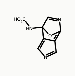 O=C(O)NC12C=NC(=C3C=NC=C31)O2